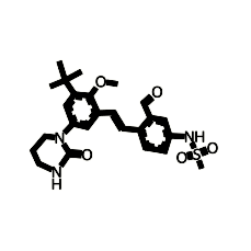 COc1c(/C=C/c2ccc(NS(C)(=O)=O)cc2C=O)cc(N2CCCNC2=O)cc1C(C)(C)C